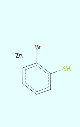 Sc1ccccc1Br.[Zn]